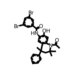 CC(=O)N1c2cc(O)c(NC(=O)c3cc(Br)cc(Br)c3)cc2C(C)(c2ccccc2)CC1(C)C